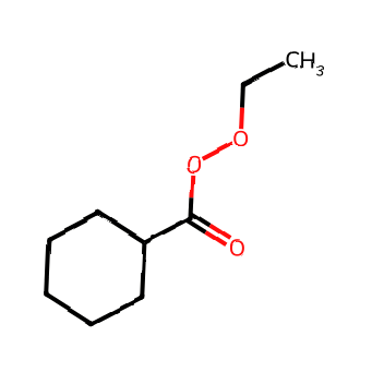 CCOOC(=O)C1CCCCC1